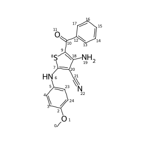 COc1ccc(Nc2sc(C(=O)c3ccccc3)c(N)c2C#N)cc1